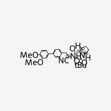 COc1ccc(-c2ccc(C[C@@H](C#N)NC(=O)[C@@H]3[C@H]4CC[C@H](C4)N3C(=O)OC(C)(C)C)cc2)cc1OC